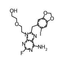 Nc1nc(F)nc2c1nc(Cc1cc3c(cc1I)OCO3)n2CCOCCO